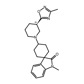 Cc1noc([C@@H]2CCCN(C3CCC4(CC3)C(=O)N(C)c3ccccc34)C2)n1